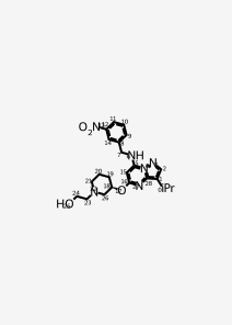 CC(C)c1cnn2c(NCc3cccc([N+](=O)[O-])c3)cc(O[C@@H]3CCCN(CCO)C3)nc12